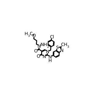 COCCCN(N)C(=O)c1cn(Cc2ccc(Cl)cc2)c(Nc2ccc3nc(C)sc3c2)nc1=O